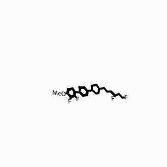 COc1ccc(-c2ccc(C3CCC(CC/C=C(\F)CCF)CC3)cc2)c(F)c1F